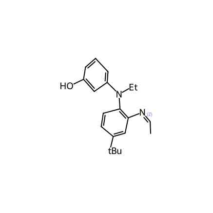 C/C=N\c1cc(C(C)(C)C)ccc1N(CC)c1cccc(O)c1